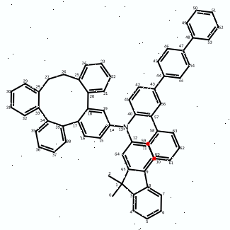 CC1(C)c2ccccc2-c2ccc(N(c3ccc4c(c3)-c3ccccc3CCc3ccccc3-c3ccccc3-4)c3ccc(-c4ccc(-c5ccccc5)cc4)cc3-c3ccccc3)cc21